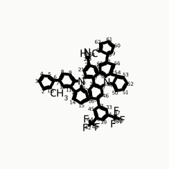 Cc1ccccc1-c1ccc2c(c1)c1ccccc1n2-c1cc(C#N)ccc1-c1ccc(-c2cc(C(F)(F)F)cc(C(F)(F)F)c2)cc1-n1c2ccccc2c2cc(-c3ccccc3C)ccc21